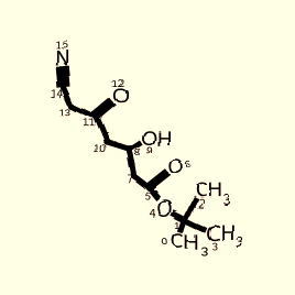 CC(C)(C)OC(=O)CC(O)CC(=O)CC#N